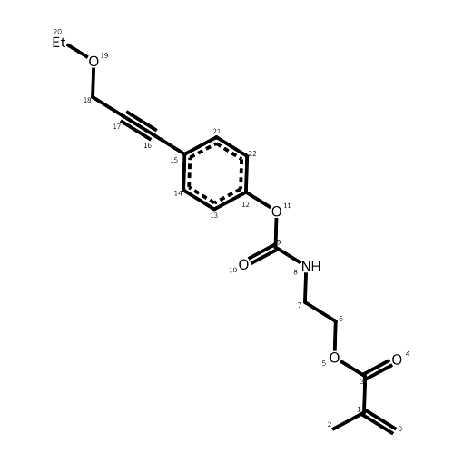 C=C(C)C(=O)OCCNC(=O)Oc1ccc(C#CCOCC)cc1